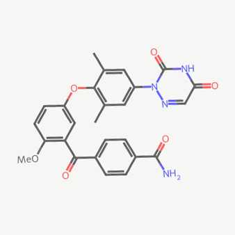 COc1ccc(Oc2c(C)cc(-n3ncc(=O)[nH]c3=O)cc2C)cc1C(=O)c1ccc(C(N)=O)cc1